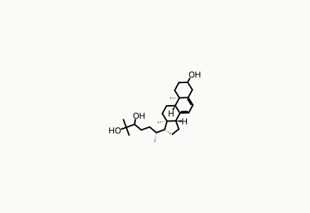 C[C@H](CCC(O)C(C)(C)O)[C@H]1CC[C@H]2C3=CC=C4CC(O)CC[C@]4(C)[C@H]3CC[C@]12C